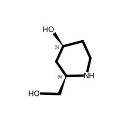 OC[C@H]1C[C@@H](O)CCN1